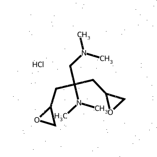 CN(C)CC(CC1CO1)(CC1CO1)N(C)C.Cl